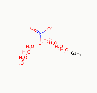 O.O.O.O.O.O.O.O.O=[N+]([O-])[O-].[GaH3]